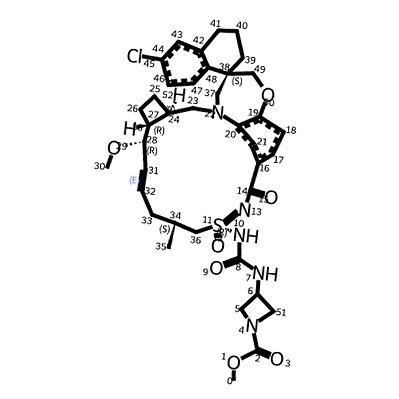 COC(=O)N1CC(NC(=O)N[S@@]2(=O)=NC(=O)c3ccc4c(c3)N(C[C@@H]3CC[C@H]3[C@@H](OC)/C=C/C[C@H](C)C2)C[C@@]2(CCCc3cc(Cl)ccc32)CO4)C1